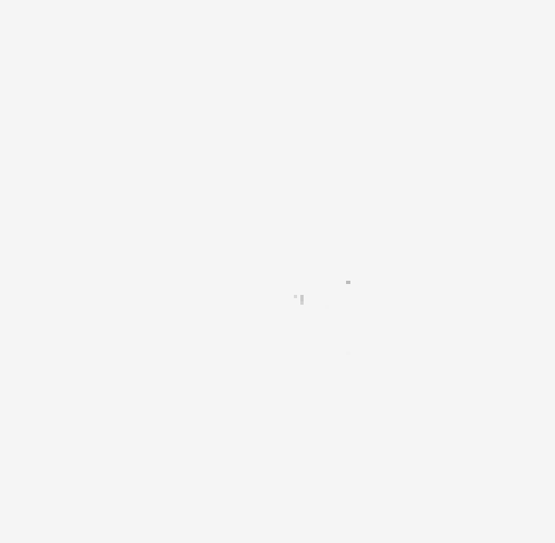 O=c1[nH]nc(-c2c[nH]c3ccccc23)n1-c1cccc2ccccc12